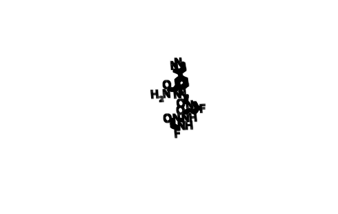 NC(=O)c1nn(CC(=O)N2CC(F)CC2C(=O)Nc2nc(=O)cc(F)[nH]2)c2ccc(-c3ccnnc3)cc12